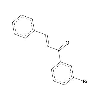 O=C(/C=C/c1ccccc1)c1cccc(Br)c1